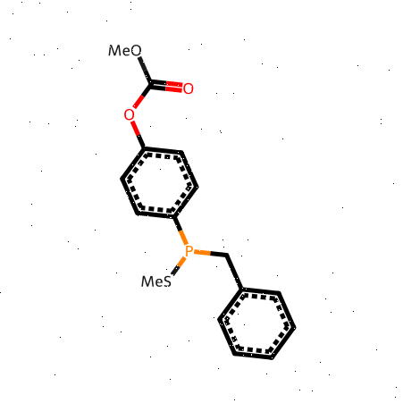 COC(=O)Oc1ccc(P(Cc2ccccc2)SC)cc1